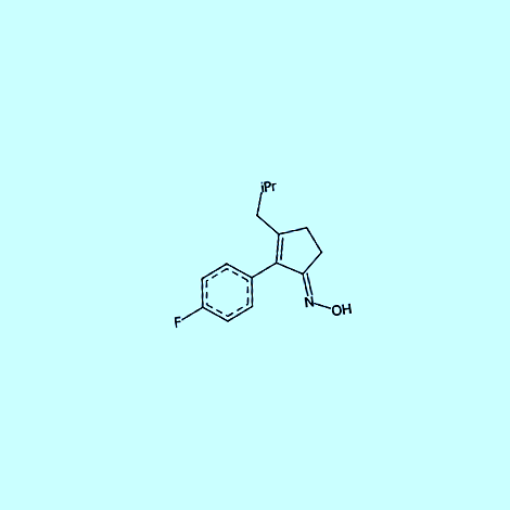 CC(C)CC1=C(c2ccc(F)cc2)C(=NO)CC1